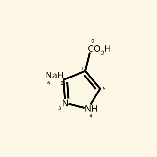 O=C(O)c1cn[nH]c1.[NaH]